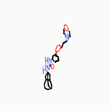 O=C(Nc1cccc(OCCCN2CCOCC2)c1)NC12CC3CCCC(C1)C(C3)C2